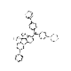 CC1(C)c2ccc(-c3ccccc3)cc2-c2ccc(N(c3ccc(C4CCCCC4)cc3)c3ccc(C4CC5CCC4CC5)cc3)cc21